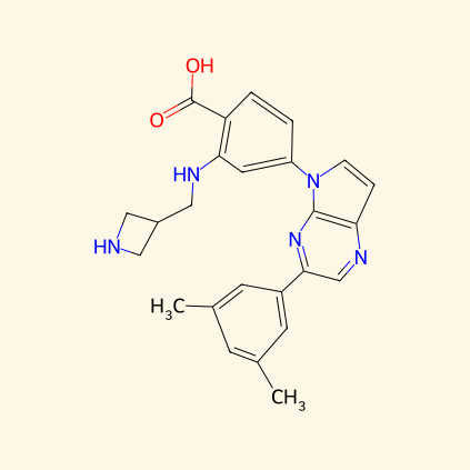 Cc1cc(C)cc(-c2cnc3ccn(-c4ccc(C(=O)O)c(NCC5CNC5)c4)c3n2)c1